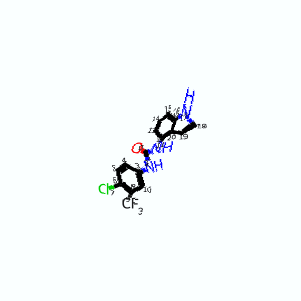 O=C(Nc1ccc(Cl)c(C(F)(F)F)c1)Nc1cccc2[nH]ccc12